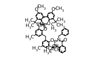 COc1cc(C(C)(C)C)c2op(Oc3c(C)cc(C)cc3Cc3cc(C)cc(C(C)(C)C)c3OP3N(Cc4ccccc4)C(=O)c4ccccc4N3C)oc3c(C(C)(C)C)cc(OC)cc3c2c1